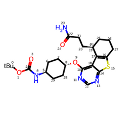 CC(C)(C)OC(=O)N[C@H]1CC[C@H](Oc2ncnc3sc4c(c23)[C@@H](CCC(N)=O)CCC4)CC1